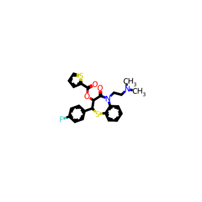 CN(C)CCN1C(=O)C(OC(=O)c2cccs2)C(c2ccc(F)cc2)Sc2ccccc21